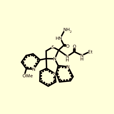 CCNC(=O)NC1(C(=O)NN)SCC(c2ccccn2)(c2cccc(OC)n2)N1c1ccccn1